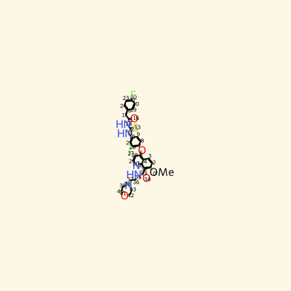 COc1ccc2c(Oc3ccc(NC(=S)NC(=O)Cc4ccc(F)cc4)cc3F)ccnc2c1C(=O)NCCN1CCOCC1